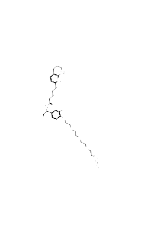 [N-]=[N+]=NCCOCCOCCOCCOc1ccc(C(CC(=O)O)NC(=O)CCCCc2ccc3c(n2)NCCC3)cc1F